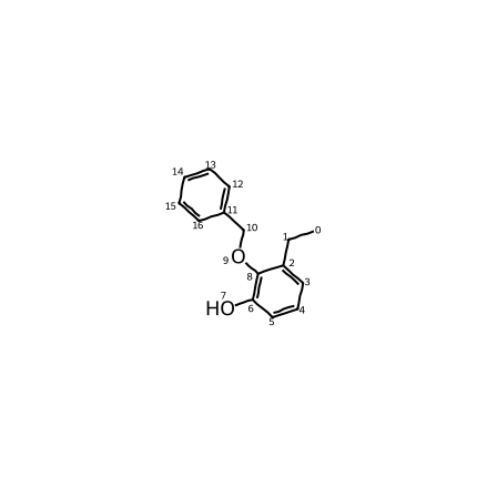 CCc1cccc(O)c1OCc1ccccc1